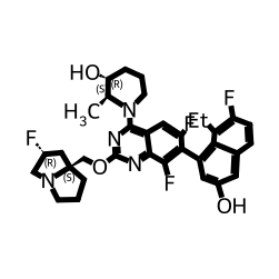 CCc1c(F)ccc2cc(O)cc(-c3c(F)cc4c(N5CCC[C@@H](O)[C@@H]5C)nc(OC[C@@]56CCCN5C[C@H](F)C6)nc4c3F)c12